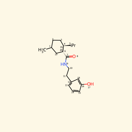 CC1CC[C@@H](C(C)C)[C@H](C(=O)NCCc2cccc(O)c2)C1